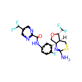 NC1=N[C@@]2(c3cc(NC(=O)c4ncc(C(F)F)cn4)ccc3F)CO[C@H](C(F)F)[C@H]2CS1